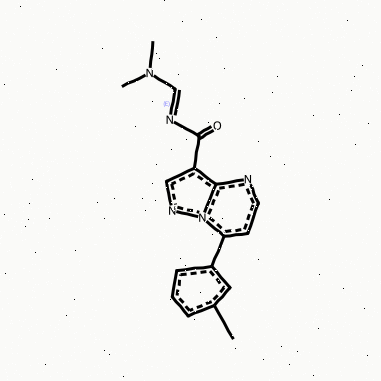 Cc1cccc(-c2ccnc3c(C(=O)/N=C/N(C)C)cnn23)c1